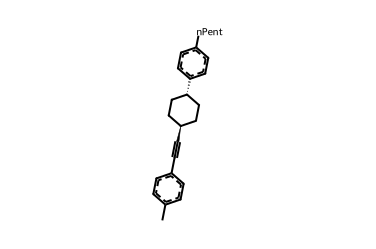 CCCCCc1ccc([C@H]2CC[C@H](C#Cc3ccc(C)cc3)CC2)cc1